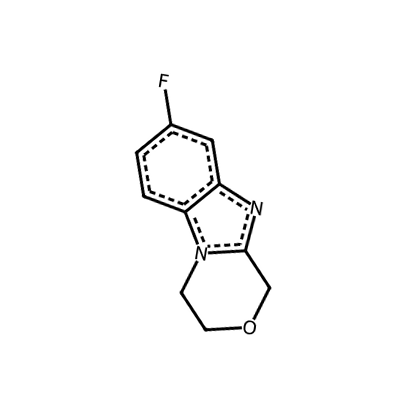 Fc1ccc2c(c1)nc1n2CCOC1